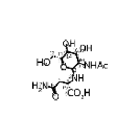 CC(=O)N[C@H]1C(N[C@@H](CC(N)=O)C(=O)O)O[C@H](CO)[C@@H](O)[C@@H]1O